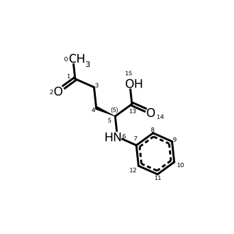 CC(=O)CC[C@H](Nc1ccccc1)C(=O)O